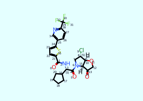 O=C(N[C@H](C(=O)N1C[C@H](Cl)[C@H]2OCC(=O)[C@H]21)C1CCCC1)c1ccc(-c2ccc(C(F)(F)F)nc2)s1